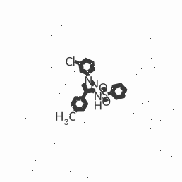 Cc1ccc(-c2cn(-c3cccc(Cl)c3)nc2NS(=O)(=O)c2ccccc2)cc1